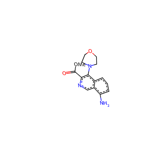 COC(=O)c1ncc2c(N)cccc2c1N1CCOCC1